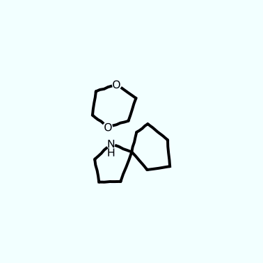 C1CCC2(CC1)CCCN2.C1COCCO1